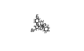 O=S(=O)(Nc1cc(Br)cn1-c1ccc(F)cc1)c1ccccc1